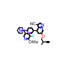 C#CC(C)COc1cc(-c2ccc(N3CC4CC(C3)N4Cc3cnc(OC)c(F)c3)nc2)c2c(C#N)cnn2c1